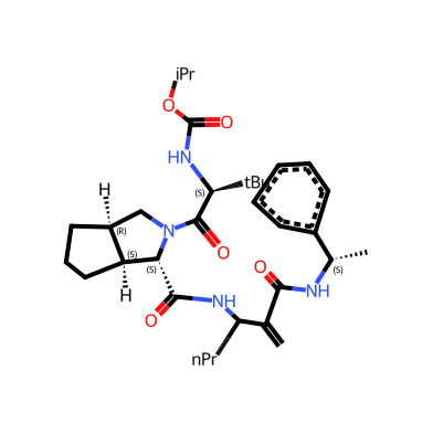 C=C(C(=O)N[C@@H](C)c1ccccc1)C(CCC)NC(=O)[C@@H]1[C@H]2CCC[C@H]2CN1C(=O)[C@@H](NC(=O)OC(C)C)C(C)(C)C